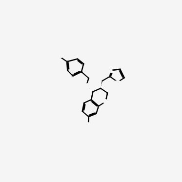 Clc1ccc(CO[C@H]2c3ccc(Cl)cc3SC[C@@H]2Cc2ncc[nH]2)cc1